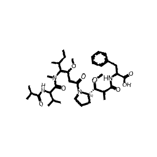 CCC(C)C(C(CC(=O)N1CCC[C@H]1C(OC)C(C)C(=O)NC(Cc1ccccc1)C(=O)O)OC)N(C)C(=O)C(NC(=O)C(C)C)C(C)C